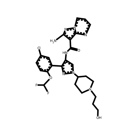 Nc1nn2cccnc2c1C(=O)Nc1cn(C2CCN(CCCO)CC2)nc1-c1cc(Cl)ccc1OC(F)F